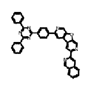 c1ccc(-c2nc(-c3ccccc3)nc(-c3ccc(-c4cc5c(cn4)oc4cnc(-c6cc7ccccc7cn6)cc45)cc3)n2)cc1